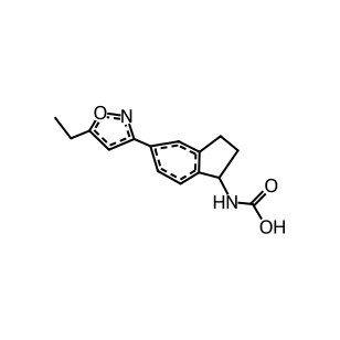 CCc1cc(-c2ccc3c(c2)CCC3NC(=O)O)no1